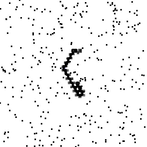 O=C(O)CCCCCCC/C=C\CCCCCCCCc1cc2ccccc2oc1=O